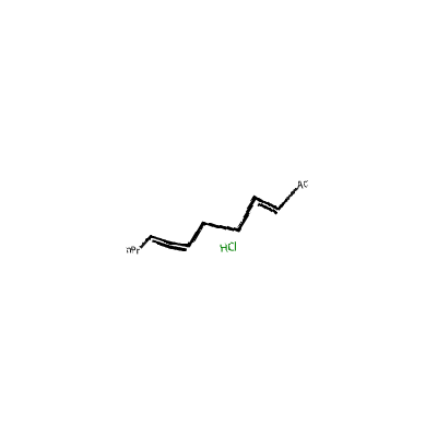 CCCC=CCCC=CC(C)=O.Cl